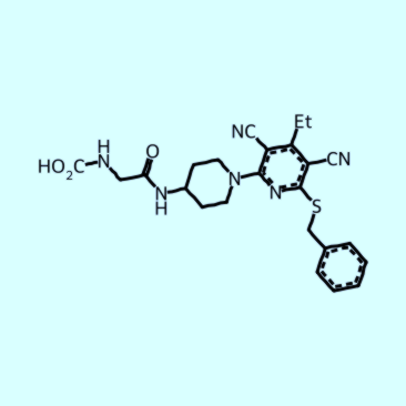 CCc1c(C#N)c(SCc2ccccc2)nc(N2CCC(NC(=O)CNC(=O)O)CC2)c1C#N